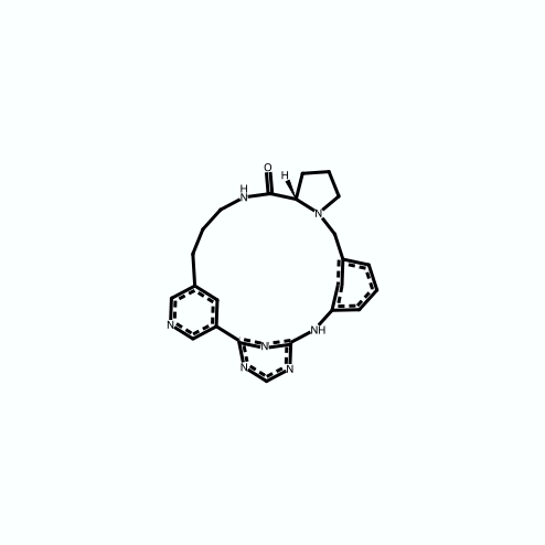 O=C1NCCCc2cncc(c2)-c2ncnc(n2)Nc2cccc(c2)CN2CCC[C@@H]12